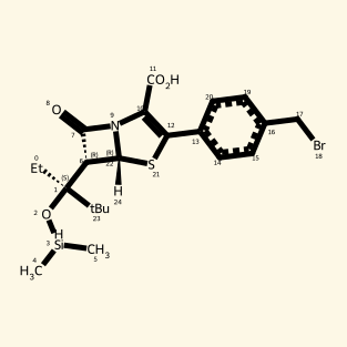 CC[C@](O[SiH](C)C)([C@@H]1C(=O)N2C(C(=O)O)=C(c3ccc(CBr)cc3)S[C@H]12)C(C)(C)C